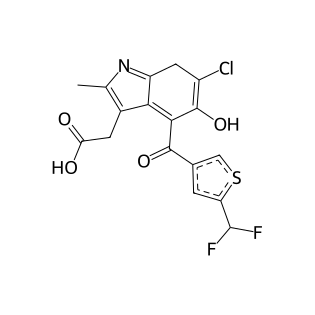 CC1=C(CC(=O)O)C2=C(C(=O)c3csc(C(F)F)c3)C(O)=C(Cl)CC2=N1